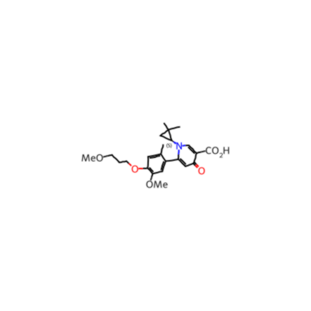 COCCCOc1cc(C)c(-c2cc(=O)c(C(=O)O)cn2[C@H]2CC2(C)C)cc1OC